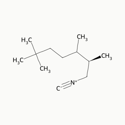 [C-]#[N+]C[C@H](C)C(C)CCC(C)(C)C